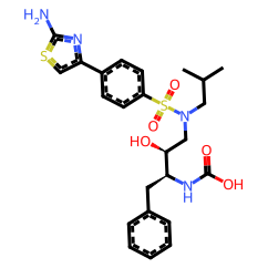 CC(C)CN(C[C@H](O)[C@H](Cc1ccccc1)NC(=O)O)S(=O)(=O)c1ccc(-c2csc(N)n2)cc1